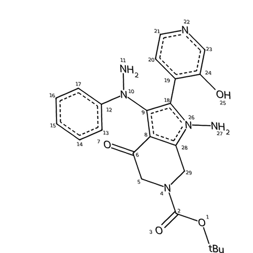 CC(C)(C)OC(=O)N1CC(=O)c2c(N(N)c3ccccc3)c(-c3ccncc3O)n(N)c2C1